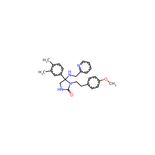 COc1ccc(CCN2C(=O)NCC2(NCc2ccccn2)c2ccc(C)c(C)c2)cc1